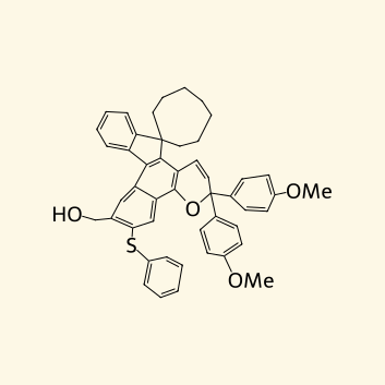 COc1ccc(C2(c3ccc(OC)cc3)C=Cc3c4c(c5cc(CO)c(Sc6ccccc6)cc5c3O2)-c2ccccc2C42CCCCCCC2)cc1